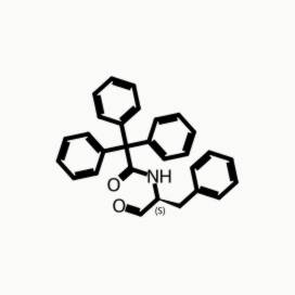 O=C[C@H](Cc1ccccc1)NC(=O)C(c1ccccc1)(c1ccccc1)c1ccccc1